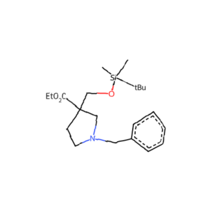 CCOC(=O)C1(CO[Si](C)(C)C(C)(C)C)CCN(Cc2ccccc2)C1